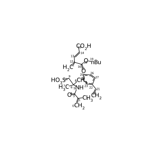 C=C(C)C(=O)NC(C)(C)CS(=O)(=O)O.C=C(C=CC(=O)O)C(=O)OCCCC.C=Cc1ccccc1